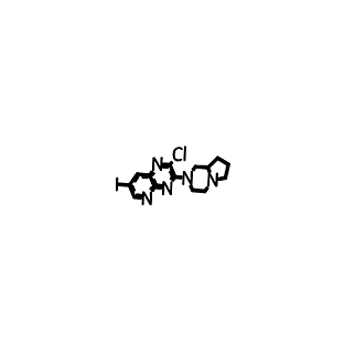 Clc1nc2cc(I)cnc2nc1N1CCN2CCCC2C1